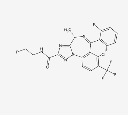 C[C@@H]1N=C(c2c(F)cccc2F)c2c(ccc(C(F)(F)F)c2Cl)-n2nc(C(=O)NCCF)nc21